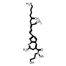 C=C/C(=C\C=C\c1ccc2c(c1)N=C(N)CC(C(=O)N(CCC)CCCO)=C2)CC(=C)CCCCN